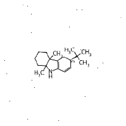 CC(C)(C)[C@H]1C=CC2=C(C1)C1(C)CCCCC1(C)N2